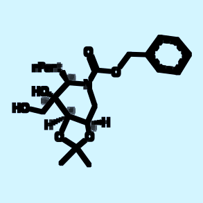 CCCCC[C@H]1N(C(=O)OCc2ccccc2)C[C@H]2OC(C)(C)O[C@H]2[C@@]1(O)CO